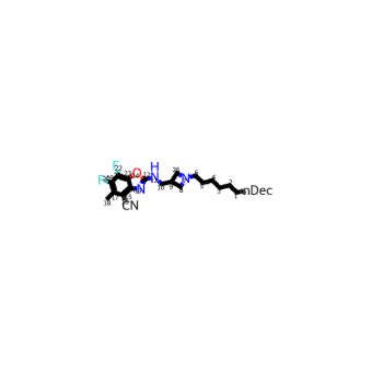 CCCCCCCCCCCCCCCCN1CC(CNc2nc3c(C#N)c(C)c(F)c(F)c3o2)C1